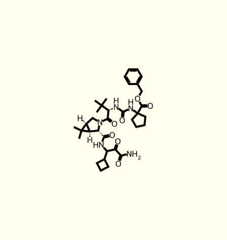 CC(C)(C)[C@H](NC(=O)NC1(C(=O)OCc2ccccc2)CCCC1)C(=O)N1C[C@H]2[C@@H]([C@H]1C(=O)NC(C(=O)C(N)=O)C1CCC1)C2(C)C